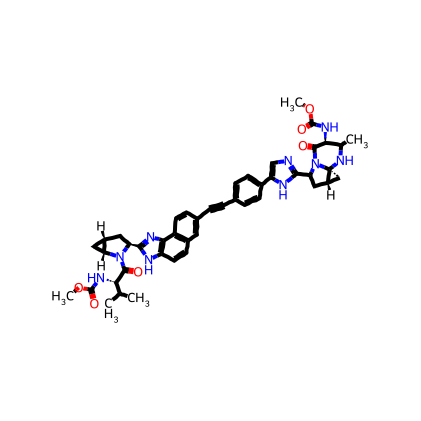 COC(=O)N[C@H](C(=O)N1[C@@H]2C[C@@H]2C[C@H]1c1nc2c(ccc3cc(C#Cc4ccc(-c5cnc(C6C[C@H]7C[C@]78NC(C)[C@H](NC(=O)OC)C(=O)N68)[nH]5)cc4)ccc32)[nH]1)C(C)C